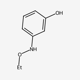 CCONc1cccc(O)c1